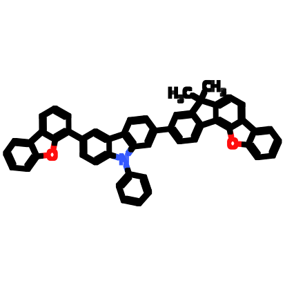 CC1(C)c2cc(-c3ccc4c5cc(-c6cccc7c6oc6ccccc67)ccc5n(-c5ccccc5)c4c3)ccc2-c2c1ccc1c2oc2ccccc21